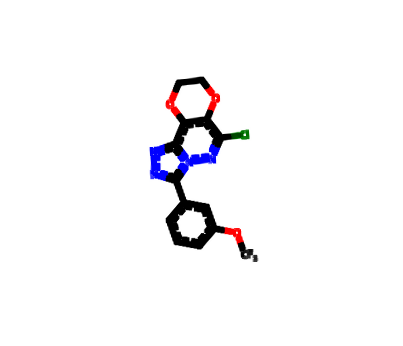 FC(F)(F)Oc1cccc(-c2nnc3c4c(c(Cl)nn23)OCCO4)c1